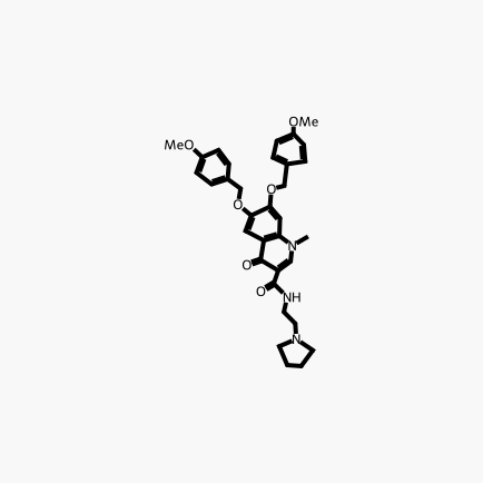 COc1ccc(COc2cc3c(=O)c(C(=O)NCCN4CCCC4)cn(C)c3cc2OCc2ccc(OC)cc2)cc1